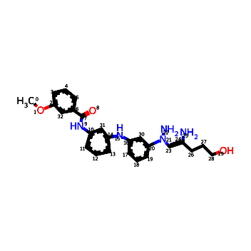 COc1cccc(C(=O)Nc2cccc(Nc3cccc(N(N)/C=C(\N)CCCO)c3)c2)c1